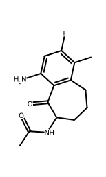 CC(=O)NC1CCCc2c(C)c(F)cc(N)c2C1=O